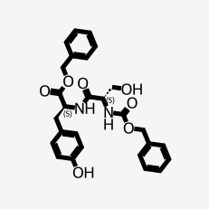 O=C(N[C@@H](CO)C(=O)N[C@@H](Cc1ccc(O)cc1)C(=O)OCc1ccccc1)OCc1ccccc1